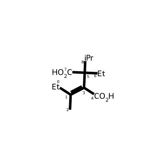 CCC(C)=C(C(=O)O)C(CC)(C(=O)O)C(C)C